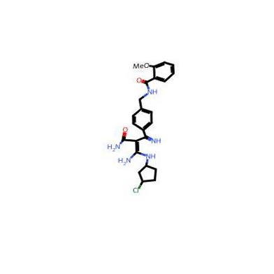 COc1ccccc1C(=O)NCc1ccc(C(=N)/C(C(N)=O)=C(/N)NC2CCC(Cl)C2)cc1